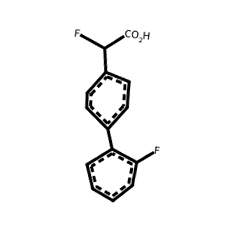 O=C(O)C(F)c1ccc(-c2ccccc2F)cc1